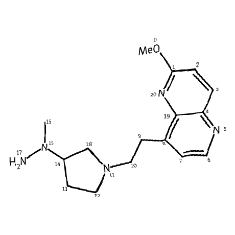 COc1ccc2nccc(CCN3CCC(N(C)N)C3)c2n1